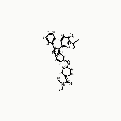 CC(C)n1nc(-c2c(-c3ccccc3)nn3ccc(OC4CCN(C(=O)N(C)C)CC4)cc23)ccc1=O